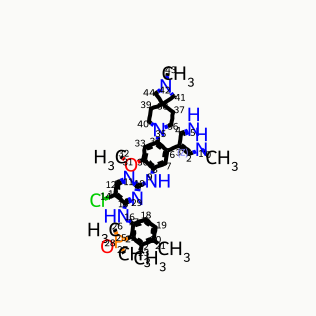 CN/C=C(\C=N)c1cc(Nc2ncc(Cl)c(Nc3ccc(C)c(C)c3P(C)(C)=O)n2)c(OC)cc1N1CCC2(CC1)CN(C)C2